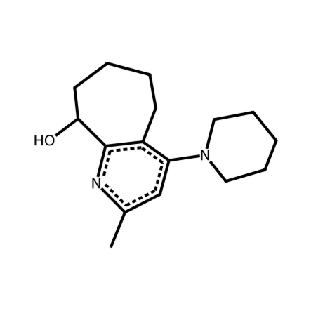 Cc1cc(N2CCCCC2)c2c(n1)C(O)CCCC2